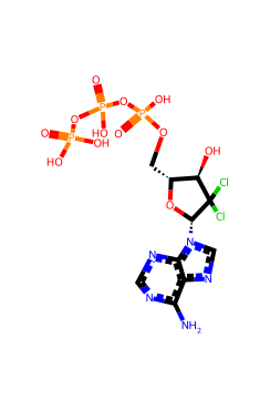 Nc1ncnc2c1ncn2[C@@H]1O[C@H](COP(=O)(O)OP(=O)(O)OP(=O)(O)O)[C@@H](O)C1(Cl)Cl